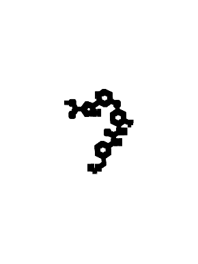 COC(=O)c1c[nH]c(-c2cc(Oc3ccc(NC(=O)Nc4cccc(CN)c4)c(F)c3)ccn2)c1